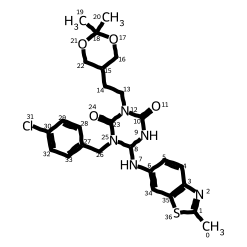 Cc1nc2ccc(NC3NC(=O)N(CCC4COC(C)(C)OC4)C(=O)N3Cc3ccc(Cl)cc3)cc2s1